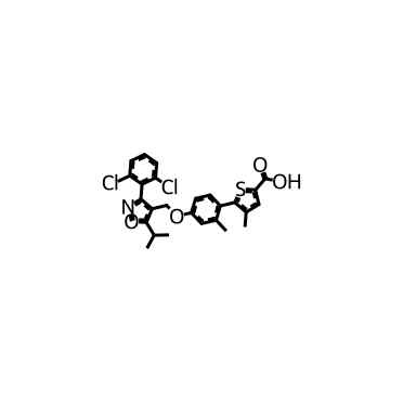 Cc1cc(OCc2c(-c3c(Cl)cccc3Cl)noc2C(C)C)ccc1-c1sc(C(=O)O)cc1C